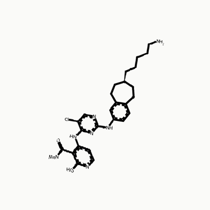 CNC(=O)c1c(Nc2nc(Nc3ccc4c(c3)CC[C@@H](CCCCCN)CC4)ncc2Cl)ccnc1O